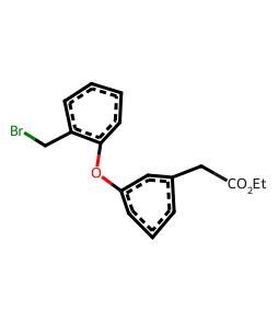 CCOC(=O)Cc1cccc(Oc2ccccc2CBr)c1